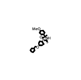 COc1ccc(C2(C)NC(=S)N(c3ccc(OCc4ccccc4)cc3)C2=O)cc1